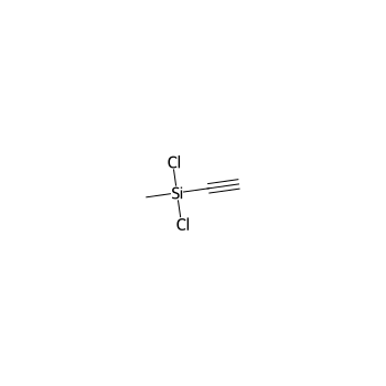 C#C[Si](C)(Cl)Cl